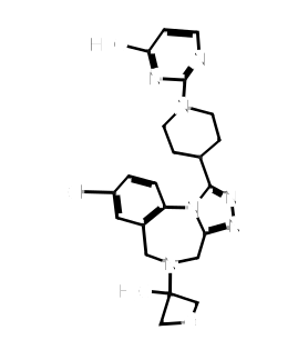 Cc1ccnc(N2CCC(c3nnc4n3-c3ccc(Cl)cc3CN(C3(C(F)(F)F)COC3)C4)CC2)n1